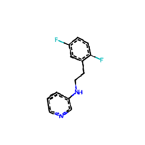 Fc1ccc(F)c(CCNc2cccnc2)c1